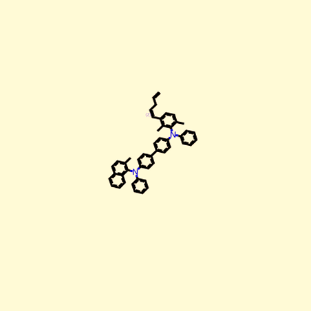 C=CC/C=C\c1ccc(C)c(N(c2ccccc2)c2ccc(-c3ccc(N(c4ccccc4)c4c(C)ccc5ccccc45)cc3)cc2)c1C